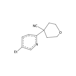 CCc1ccc(C2(C#N)CCOCC2)nc1